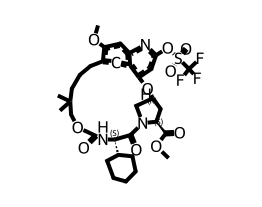 COC(=O)[C@@H]1C[C@@H]2CN1C(=O)[C@H](C1CCCCC1)NC(=O)OCC(C)(C)CCCc1cc3c(cc(OS(=O)(=O)C(F)(F)F)nc3cc1OC)O2